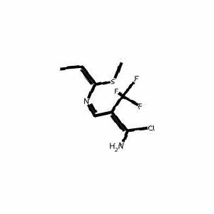 C\C=C(/N=C\C(=C(/N)Cl)C(F)(F)F)SC